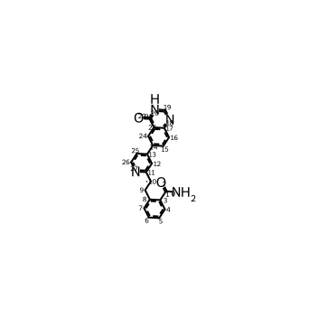 NC(=O)c1ccccc1C[CH]c1cc(-c2ccc3nc[nH]c(=O)c3c2)ccn1